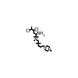 CC(Cl)[C@H](Cl)CC(N)C(C)(C)N(C)CC(C)(C)/C=C\CN1CCN(C)CC1